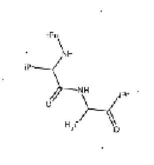 CC(C)C(=O)C(C)NC(=O)C(NC(C)(C)C)C(C)C